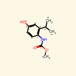 COC(=O)Nc1ccc(O)cc1C(C)C